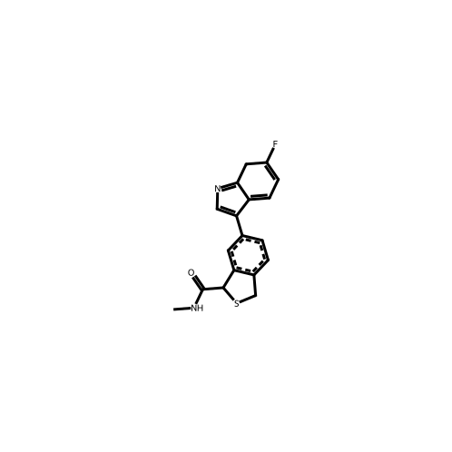 CNC(=O)C1SCc2ccc(C3=CN=C4CC(F)=CC=C34)cc21